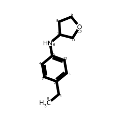 CCc1ccc(NC2CCOC2)cc1